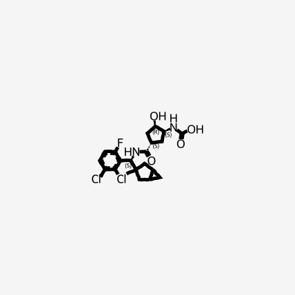 CC1([C@H](NC(=O)[C@@H]2C[C@@H](O)[C@@H](NC(=O)O)C2)c2c(F)ccc(Cl)c2Cl)CC2CC2C1